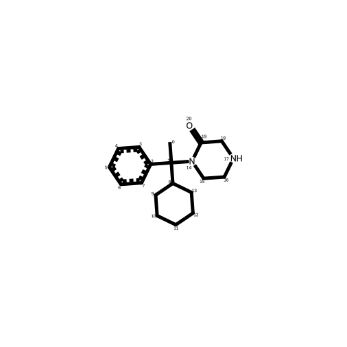 CC(c1cc[c]cc1)(C1CCCCC1)N1CCNCC1=O